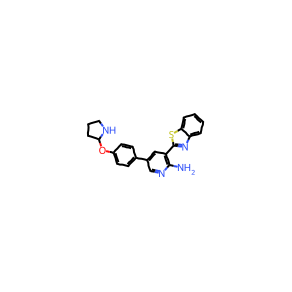 Nc1ncc(-c2ccc(OC3CCCN3)cc2)cc1-c1nc2ccccc2s1